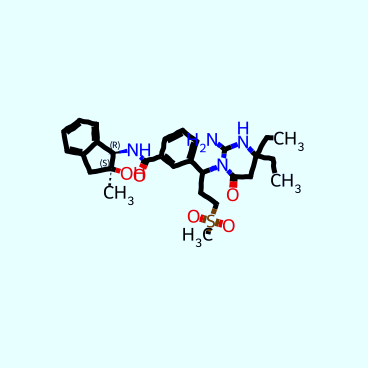 CCC1(CC)CC(=O)N(C(CCS(C)(=O)=O)c2cccc(C(=O)N[C@@H]3c4ccccc4C[C@]3(C)O)c2)C(N)N1